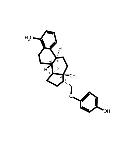 Cc1cccc2c1CC[C@@H]1[C@@H]2CC[C@]2(C)[C@H](COc3ccc(O)cc3)CC[C@@H]12